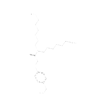 CCCCCCCCCCCCCCCCN(CCCCCCCCCCCCCCCC)C(=O)COc1ccc(CN)cc1